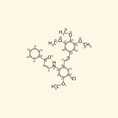 COc1cc(N/C=C\C(=O)c2ccccc2)c(/C=C/c2cc(OC)c(OC)c(OC)c2)cc1Cl